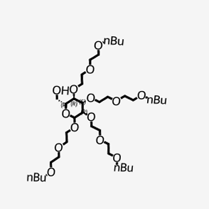 CCCCOCCOCCOC1O[C@H](CO)[C@@H](OCCOCCOCCCC)[C@H](OCCOCCOCCCC)[C@H]1OCCOCCOCCCC